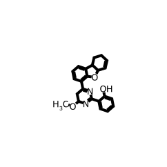 COC1CC(c2cccc3c2OC2C=CCCC32)=NC(c2ccccc2O)=N1